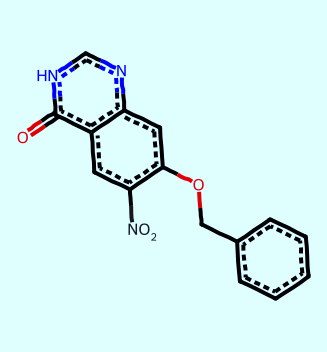 O=c1[nH]cnc2cc(OCc3ccccc3)c([N+](=O)[O-])cc12